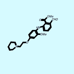 COC(=O)c1c(C=O)cccc1Nc1ccc(OCCN2CCCCC2)cc1OC